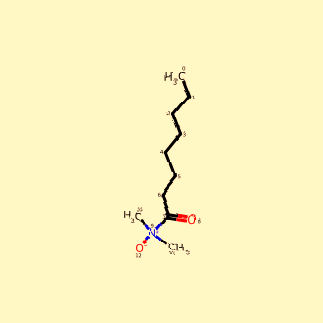 CCCCCCCC(=O)[N+](C)(C)[O-]